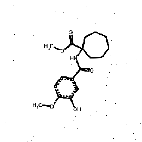 COC(=O)C1(NC(=O)c2ccc(OC)c(O)c2)CCCCCC1